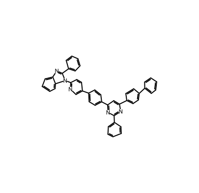 c1ccc(-c2ccc(-c3cc(-c4ccc(-c5ccc(-n6c(-c7ccccc7)nc7ccccc76)nc5)cc4)nc(-c4ccccc4)n3)cc2)cc1